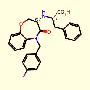 O=C(O)[C@H](Cc1ccccc1)N[C@H]1COc2ccccc2N(Cc2ccc(I)cc2)C1=O